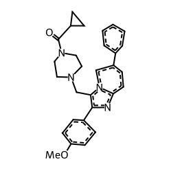 COc1ccc(-c2nc3ccc(-c4ccccc4)cn3c2CN2CCN(C(=O)C3CC3)CC2)cc1